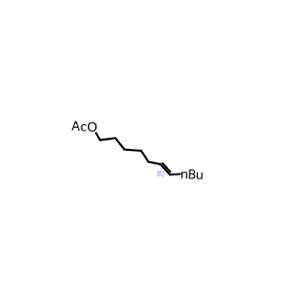 CCCC/C=C/CCCCCOC(C)=O